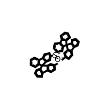 Cc1ccc2c(c1)C1(c3ccccc3-2)c2ccccc2-c2ccc([S+]([O-])c3ccc4c(c3)C3(c5ccccc5-c5ccc(C)cc53)c3ccccc3-4)cc21